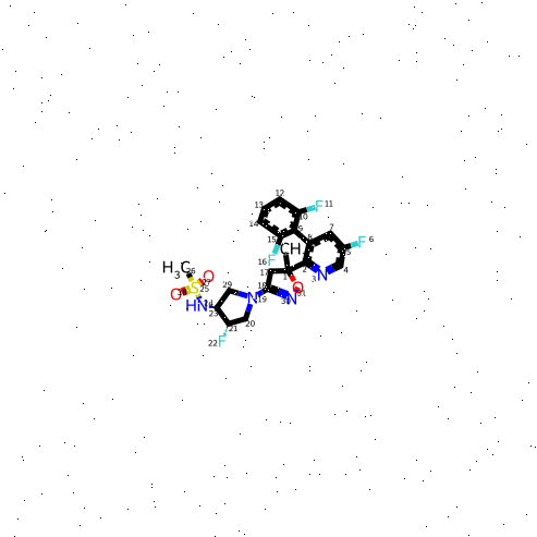 CC1(c2ncc(F)cc2-c2c(F)cccc2F)CC(N2C[C@H](F)[C@H](NS(C)(=O)=O)C2)=NO1